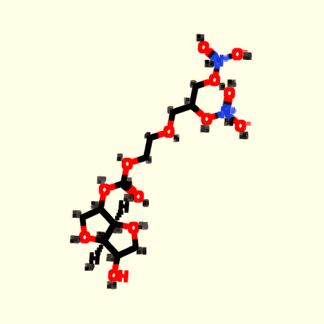 O=C(OCCOCC(CO[N+](=O)[O-])O[N+](=O)[O-])OC1CO[C@@H]2C(O)CO[C@H]12